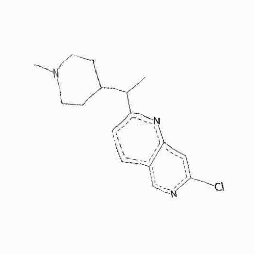 CC(c1ccc2cnc(Cl)cc2n1)C1CCN(C)CC1